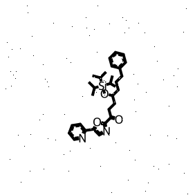 CC(C)[Si](OC(CCCc1ccccc1)CCC(=O)c1ncc(-c2ccccn2)o1)(C(C)C)C(C)C